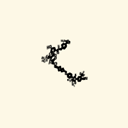 Cc1ncoc1-c1ccc(CNC(=O)[C@@H]2C[C@@H](O)CN2C(=O)[C@@H](NC(=O)COCC2CC3(C2)CC(COc2ccc(N4C(=S)N(c5ccc(C#N)c(C(F)(F)F)c5)C(=O)C4(C)C)cc2)C3)C(C)(C)C)cc1